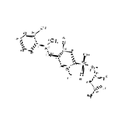 C[C@H](Nc1cc(F)c(S(=O)(=O)Nc2ncc(F)s2)cc1Cl)c1ccccc1F